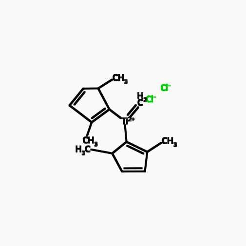 [CH2]=[Ti+2]([C]1=C(C)C=CC1C)[C]1=C(C)C=CC1C.[Cl-].[Cl-]